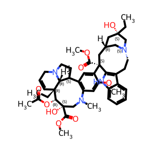 CC[C@]1(O)C[C@@H]2C[N@@](CCc3c([nH]c4ccccc34)[C@@](C(=O)OC)(c3cc4c(cc3OC)N(C)C[C@@](O)(C(=O)OC)[C@H](OC(C)=O)[C@]3(CC)C=CCN5CC[C@@H]4[C@@H]53)C2)C1